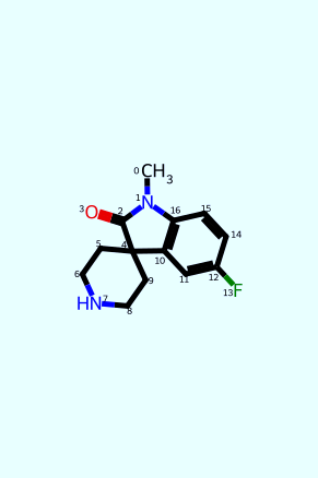 CN1C(=O)C2(CCNCC2)c2cc(F)ccc21